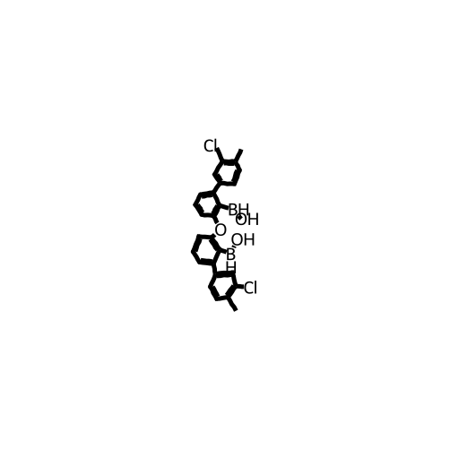 Cc1ccc(-c2cccc(Oc3cccc(-c4ccc(C)c(Cl)c4)c3BO)c2BO)cc1Cl